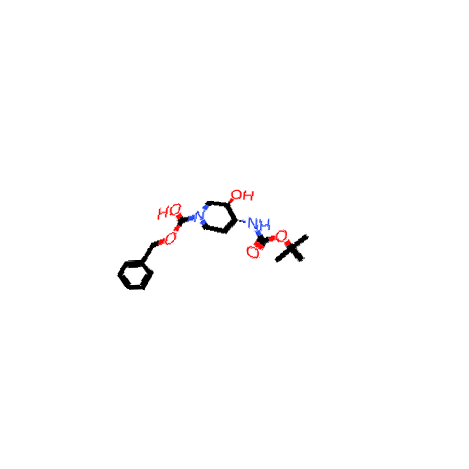 CC(C)(C)OC(=O)N[C@@H]1CCN(C(O)OCc2ccccc2)C[C@H]1O